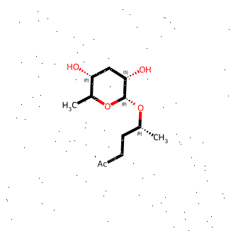 CC(=O)CC[C@@H](C)O[C@@H]1OC(C)[C@H](O)C[C@@H]1O